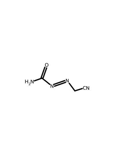 N#CCN=NC(N)=O